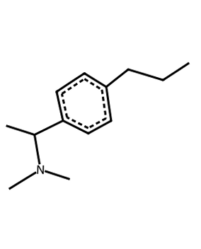 CCCc1ccc(C(C)N(C)C)cc1